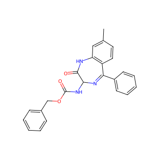 Cc1ccc2c(c1)NC(=O)C(NC(=O)OCc1ccccc1)N=C2c1ccccc1